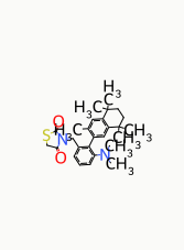 Cc1cc2c(cc1-c1c(CN3C(=O)CSC3=O)cccc1N(C)C)C(C)(C)CCC2(C)C